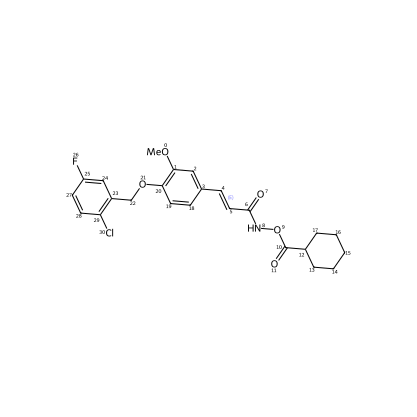 COc1cc(/C=C/C(=O)NOC(=O)C2CCCCC2)ccc1OCc1cc(F)ccc1Cl